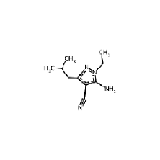 CCn1nc(CC(C)C)c(C#N)c1N